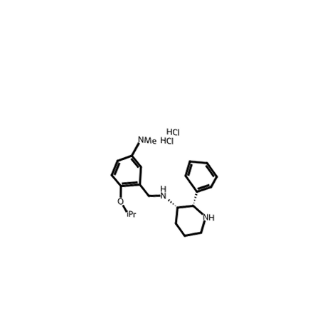 CNc1ccc(OC(C)C)c(CN[C@H]2CCCN[C@H]2c2ccccc2)c1.Cl.Cl